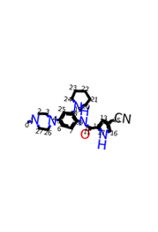 CN1CCN(c2ccc(NC(=O)c3cc(C#N)c[nH]3)c(N3CCCCC3)c2)CC1